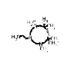 CN1CCN(CCN)CCN(C)CC(C)(C)SSC(C)(C)C1